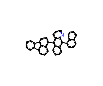 c1ccc2c(c1)-c1cccc3c(-c4c5ccccc5c(-c5cccc6ccccc56)c5ncccc45)ccc-2c13